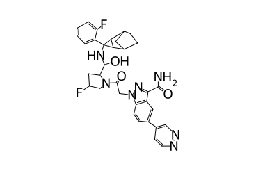 NC(=O)c1nn(CC(=O)N2CC(F)CC2C(O)NC2(c3ccccc3F)C3C4CCC(C4)C32)c2ccc(-c3ccnnc3)cc12